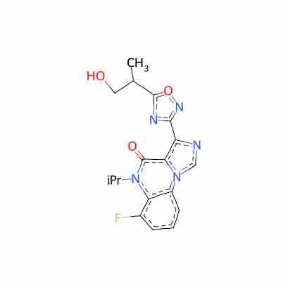 CC(CO)c1nc(-c2ncn3c2c(=O)n(C(C)C)c2c(F)cccc23)no1